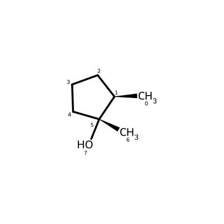 C[C@@H]1CCC[C@@]1(C)O